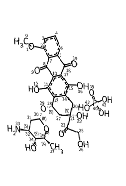 COc1cccc2c1C(=O)c1c(O)c3c(c(O)c1C2=O)C[C@@](O)(C(=O)CO)C[C@@H]3O[C@H]1C[C@H](N)[C@H](O)[C@H](C)O1.O=P(O)(O)O